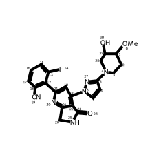 COC1CCN(c2ccn(-c3cc(-c4c(F)cccc4C#N)nc4c3C(=O)NC4)n2)CC1O